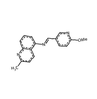 COc1ccc(/C=N/c2cccc3nc(C)ccc23)cn1